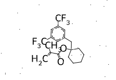 C=C(C)C(=O)OC1(Cc2cc(C(F)(F)F)cc(C(F)(F)F)c2)CCCCC1